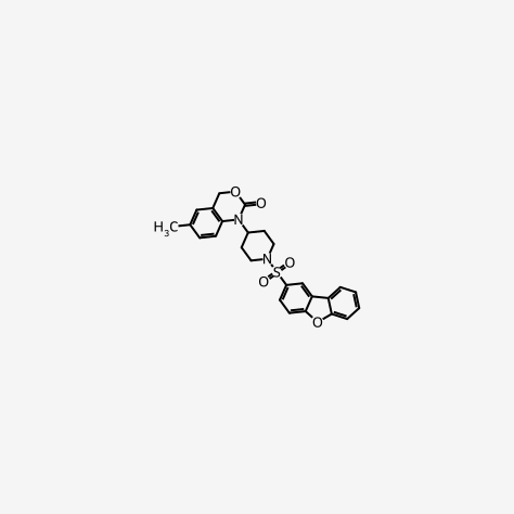 Cc1ccc2c(c1)COC(=O)N2C1CCN(S(=O)(=O)c2ccc3oc4ccccc4c3c2)CC1